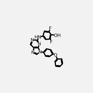 Oc1c(F)cc(Nc2ncc3ncn(-c4ccc(Oc5ccccc5)cc4)c3n2)cc1F